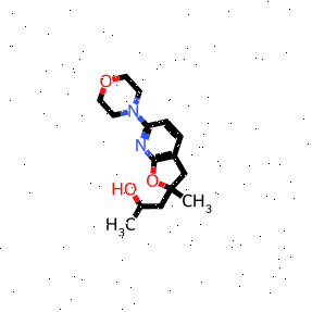 CC(O)CC1(C)Cc2ccc(N3CCOCC3)nc2O1